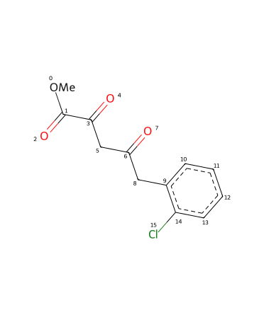 COC(=O)C(=O)CC(=O)Cc1ccccc1Cl